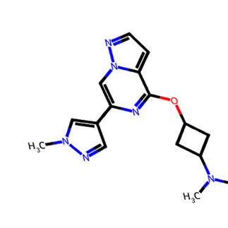 CN(C)C1CC(Oc2nc(-c3cnn(C)c3)cn3nccc23)C1